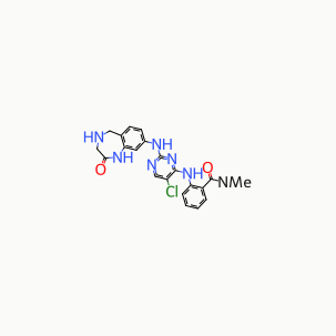 CNC(=O)c1ccccc1Nc1nc(Nc2ccc3c(c2)NC(=O)CNC3)ncc1Cl